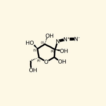 [N-]=[N+]=N[C@]1(O)C(O)O[C@H](CO)[C@@H](O)[C@@H]1O